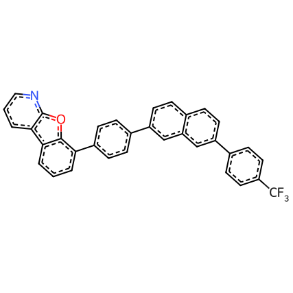 FC(F)(F)c1ccc(-c2ccc3ccc(-c4ccc(-c5cccc6c5oc5ncccc56)cc4)cc3c2)cc1